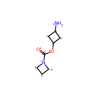 NC1CC(OC(=O)N2CCC2)C1